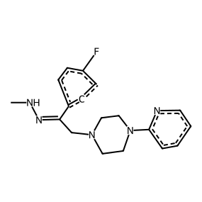 CN/N=C(/CN1CCN(c2ccccn2)CC1)c1ccc(F)cc1